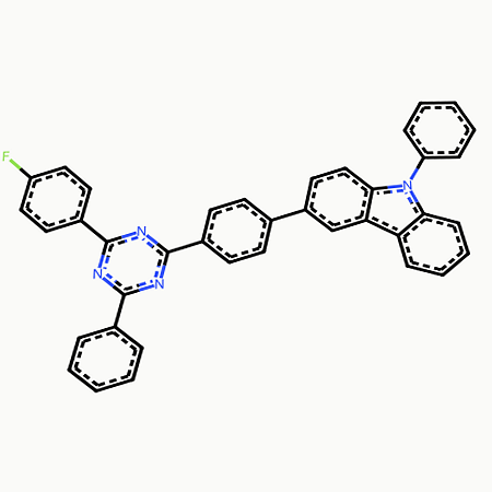 Fc1ccc(-c2nc(-c3ccccc3)nc(-c3ccc(-c4ccc5c(c4)c4ccccc4n5-c4ccccc4)cc3)n2)cc1